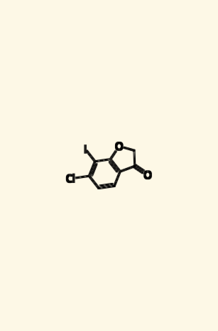 O=C1COc2c1ccc(Cl)c2I